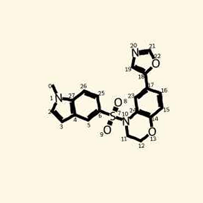 Cn1ccc2cc(S(=O)(=O)N3CCOc4ccc(-c5cnco5)cc43)ccc21